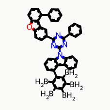 Bc1c(B)c(B)c(-c2cccc3c2c2ccccc2n3-c2nc(-c3ccccc3)nc(-c3ccc4oc5cccc(-c6ccccc6)c5c4c3)n2)c(B)c1B